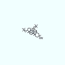 CC1(O)CC[C@@]2(C)C(=CC(O[Si](C)(C)C)[C@@H]3[C@H]2CC[C@]2(C)C(O[Si](C)(C)C)CC[C@@H]32)C1